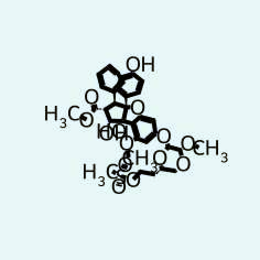 COC(=O)[C@H]1[C@@H](O)[C@@]2(O)c3c(OC)cc(OC4O[C@@H](CCOS(C)(=O)=O)CO[C@H]4OC)cc3O[C@@]2(c2ccc(O)cc2)[C@@H]1c1ccccc1